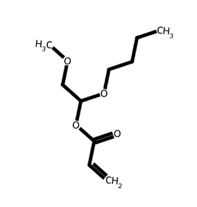 C=CC(=O)OC(COC)OCCCC